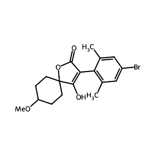 COC1CCC2(CC1)OC(=O)C(c1c(C)cc(Br)cc1C)=C2O